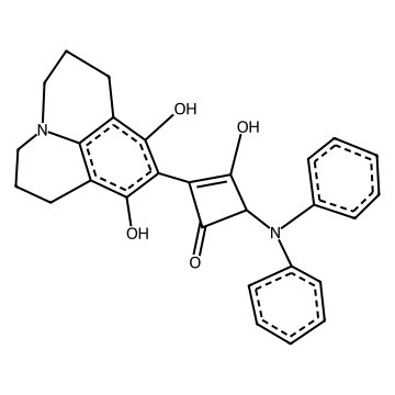 O=C1C(c2c(O)c3c4c(c2O)CCCN4CCC3)=C(O)C1N(c1ccccc1)c1ccccc1